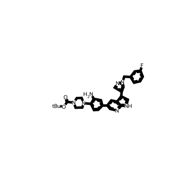 CC(C)(C)OC(=O)N1CCN(c2ccc(-c3cnc4[nH]cc(-c5cnn(Cc6cccc(F)c6)c5)c4c3)cc2N)CC1